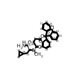 C[C@H](CC(=O)OC(c1ccccc1)(c1ccccc1)c1ccccc1Cl)C(=O)N(C)[C@H](CN)CC1CC1